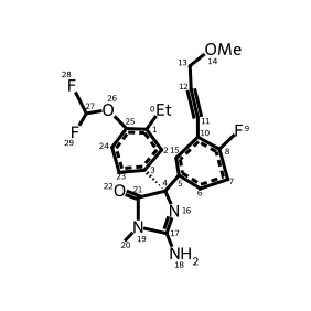 CCc1cc([C@]2(c3ccc(F)c(C#CCOC)c3)N=C(N)N(C)C2=O)ccc1OC(F)F